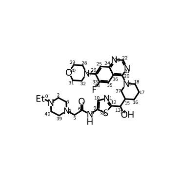 CCN1CCN(CC(=O)Nc2cnc(C(O)C3CCCN(c4ncnc5cc(N6CCOCC6)c(F)cc45)C3)s2)CC1